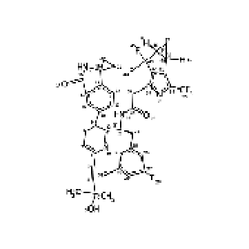 CC(C)(O)C#CC1=CCC(c2ccc3c(c2)C(=O)NC32CC2)C([C@H](Cc2cc(F)cc(F)c2)NC(=O)Cn2nc(C(F)(F)F)c3c2C(F)(F)[C@@H]2C[C@H]32)=N1